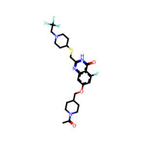 CC(=O)N1CCC(COc2cc(F)c3c(=O)[nH]c(CSC4CCN(CC(F)(F)F)CC4)nc3c2)CC1